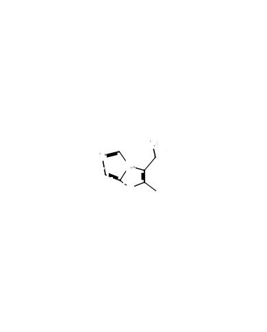 Cc1sc2cncn2c1CN